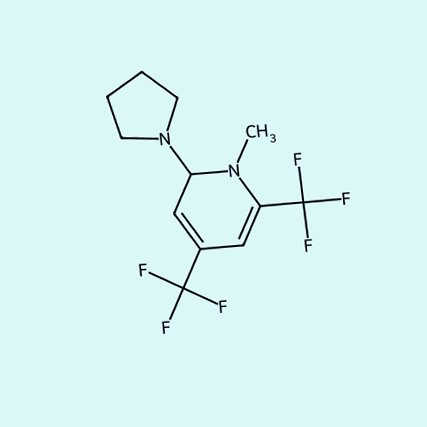 CN1C(C(F)(F)F)=CC(C(F)(F)F)=CC1N1CCCC1